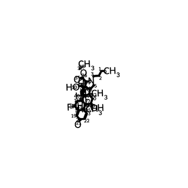 CCCCN1C[C@]2(C(=O)CO)[C@@H](C[C@H]3[C@@H]4C[C@H](F)C5=CC(=O)C=C[C@]5(C)[C@@]4(F)[C@@H](O)C[C@@]32C)C1C(=O)OCC